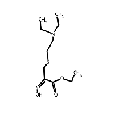 CCOC(=O)/C(CSCCN(CC)CC)=N\O